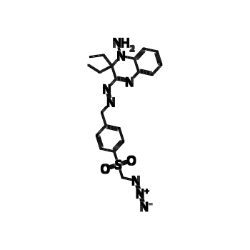 CCC1(CC)C(N=NCc2ccc(S(=O)(=O)CN=[N+]=[N-])cc2)=Nc2ccccc2N1N